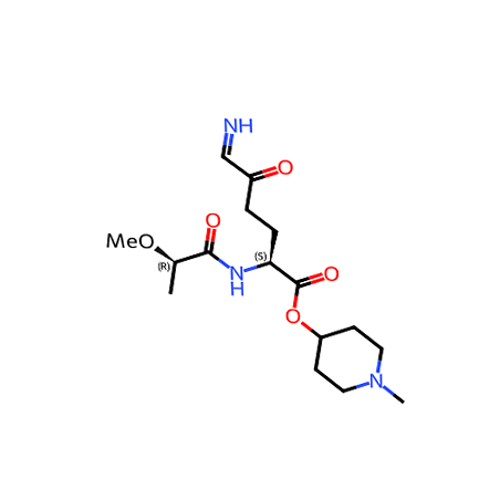 CO[C@H](C)C(=O)N[C@@H](CCC(=O)C=N)C(=O)OC1CCN(C)CC1